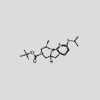 CC(C)Sc1ccc2c(n1)N1[C@H](C2)CN(C(=O)OC(C)(C)C)C[C@H]1C